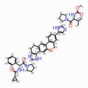 COC(=O)NC(C(=O)N1CCC[C@H]1c1ncc(-c2ccc3c(c2)COc2cc4c(cc2-3)CCc2nc([C@@H]3CCCN3C(=O)[C@H](NC(=O)C3CC3)c3ccccc3)[nH]c2-4)[nH]1)C(C)C